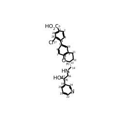 O=C(O)c1ccc(-c2ccc3c(c2)CC[C@H](CNC[C@H](O)c2cccnc2)O3)c(Cl)c1